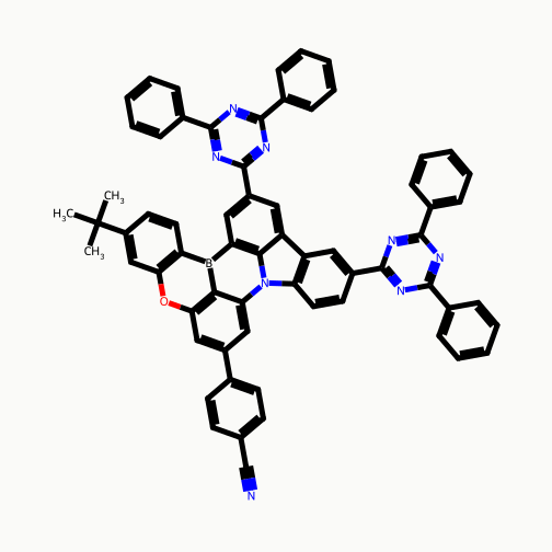 CC(C)(C)c1ccc2c(c1)Oc1cc(-c3ccc(C#N)cc3)cc3c1B2c1cc(-c2nc(-c4ccccc4)nc(-c4ccccc4)n2)cc2c4cc(-c5nc(-c6ccccc6)nc(-c6ccccc6)n5)ccc4n-3c12